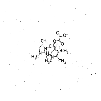 CC1=[N+](C)C(C)CN1C.CC1=[N+](C)C(C)CN1C.O=C([O-])C(=O)[O-]